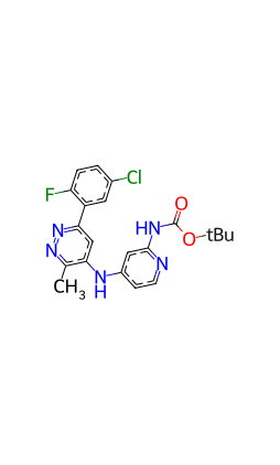 Cc1nnc(-c2cc(Cl)ccc2F)cc1Nc1ccnc(NC(=O)OC(C)(C)C)c1